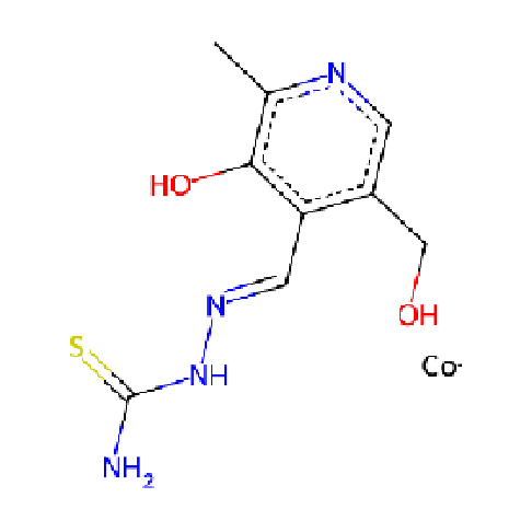 Cc1ncc(CO)c(C=NNC(N)=S)c1O.[Co]